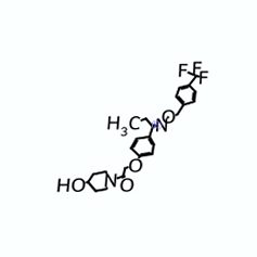 CC/C(=N\OCc1ccc(C(F)(F)F)cc1)c1ccc(OCC(=O)N2CCC(O)CC2)cc1